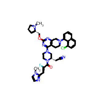 CN1CCC[C@H]1COc1nc2c(c(N3CCN(C(=O)/C(F)=C/c4nccn4C)[C@@H](CC#N)C3)n1)CCN(c1cccc3cccc(Cl)c13)C2